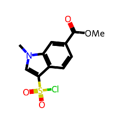 COC(=O)c1ccc2c(S(=O)(=O)Cl)cn(C)c2c1